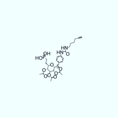 C#CCCCCNC(=O)Nc1ccc(S[C@@H]2O[C@H](CCP(O)O)[C@@H](OC(C)=O)[C@H](OC(C)=O)[C@@H]2OC(C)=O)cc1